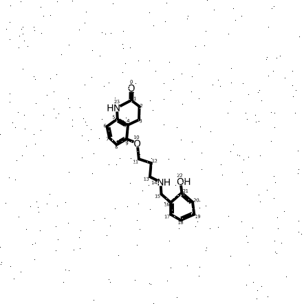 O=C1CCc2c(cccc2OCCCNCc2ccccc2O)N1